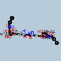 CC(=O)N[C@H]1[C@H]([C@H](O)[C@H](O)CNC(=O)c2ccc(-c3ccccc3)cc2)O[C@](C=O)(OCCCSCCNC(=O)C(N)CCC(=O)NCCSCCCO[C@]2(C(=O)O)C[C@H](O)[C@@H](NC(C)=O)[C@H]([C@H](O)[C@H](O)CNC(=O)c3ccc(-c4ccccc4)cc3)O2)C[C@@H]1O